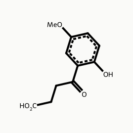 COc1ccc(O)c(C(=O)CCC(=O)O)c1